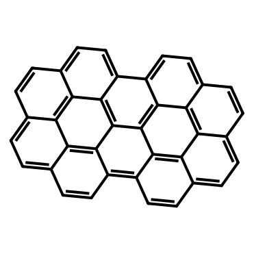 c1cc2ccc3c4ccc5ccc6ccc7ccc8c9ccc%10ccc1c1c2c3c(c9c%101)c1c4c5c6c7c81